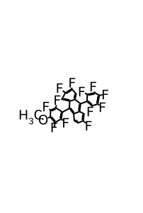 COc1c(F)c(F)c(-c2c3ccc(F)cc3c(-c3c(F)c(F)c(F)c(F)c3F)c3cc(F)c(F)cc23)c(F)c1F